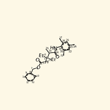 CC[PH](CC)(CC(=O)OCc1ccccc1)C(C)C(=O)Nc1c(C)cc(C)cc1C